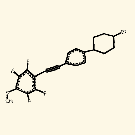 CCC1CCC(c2ccc(C#Cc3c(F)c(F)c(SC#N)c(F)c3F)cc2)CC1